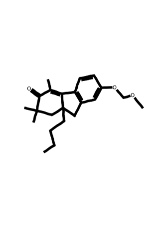 CCCCC12Cc3cc(OCOC)ccc3C1=C(C)C(=O)C(C)(C)C2